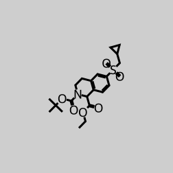 CCOC(=O)C1c2ccc(S(=O)(=O)CC3CC3)cc2CCN1C(=O)OC(C)(C)C